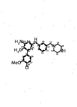 COc1cc(-c2nc(Nc3cccc(CN4CCNCC4)c3)nc(N)c2C)ccc1Cl